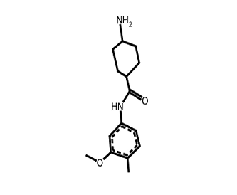 COc1cc(NC(=O)C2CCC(N)CC2)ccc1C